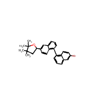 CC1(C)CC(c2ccc3c(-c4cccc5cc(Br)ccc45)cccc3c2)OC1(C)C